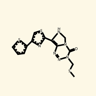 CSCN1N=NC2=C(c3nc(-c4cccs4)cs3)NCN2C1=O